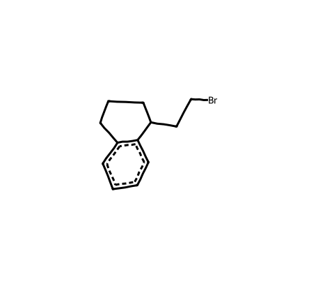 BrCCC1CCCc2ccccc21